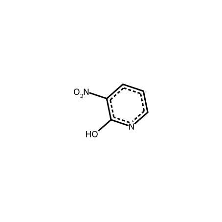 O=[N+]([O-])c1c[c]cnc1O